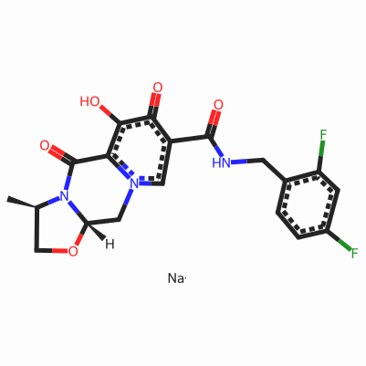 C[C@@H]1CO[C@H]2Cn3cc(C(=O)NCc4ccc(F)cc4F)c(=O)c(O)c3C(=O)N12.[Na]